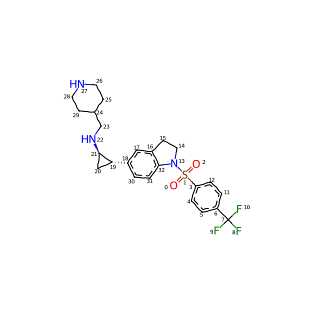 O=S(=O)(c1ccc(C(F)(F)F)cc1)N1CCc2cc([C@@H]3C[C@H]3NCC3CCNCC3)ccc21